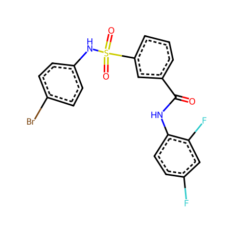 O=C(Nc1ccc(F)cc1F)c1cccc(S(=O)(=O)Nc2ccc(Br)cc2)c1